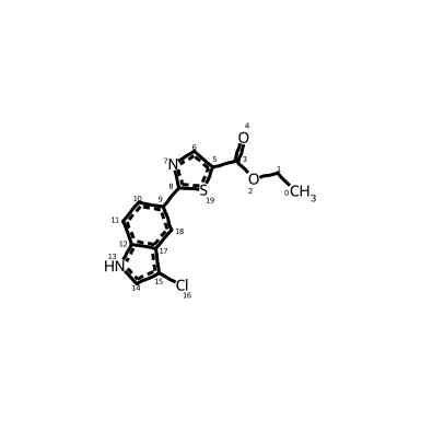 CCOC(=O)c1cnc(-c2ccc3[nH]cc(Cl)c3c2)s1